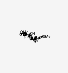 COC(=O)c1ccc(N2CC(CC#N)(n3cc(-c4ncnc5c4ccn5COCCSC)cn3)C2)c(F)c1